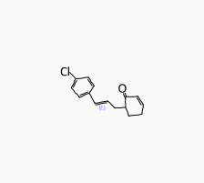 O=C1C=CCCC1C/C=C/c1ccc(Cl)cc1